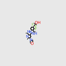 Cc1nc2c(C)nnc(N[C@H](C)c3cccc(C(F)(F)C(C)(C)O)c3F)c2cc1N1CC2CC1CO2